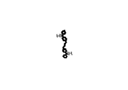 C(/C=C/c1ccc(Nc2ccccc2)cc1)=C\c1ccc(Nc2ccccc2)cc1